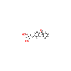 CC(CO)(CO)CCc1ccc(C(=O)c2ccccc2)cc1